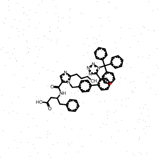 CCCCc1ncc(C(=O)NC(CC(=O)O)Cc2ccccc2)n1Cc1ccc(-c2ccccc2-c2nnnn2C(c2ccccc2)(c2ccccc2)c2ccccc2)cc1